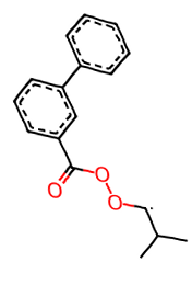 CC(C)[CH]OOC(=O)c1cccc(-c2ccccc2)c1